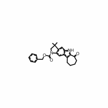 CC1(C)CN(C(=O)OCc2ccccc2)c2cc3c4c([nH]c3cc21)C(=O)CCCC4